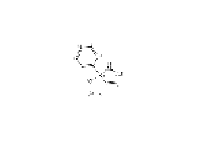 C=CC(NCC)(O[SiH3])c1ccccc1